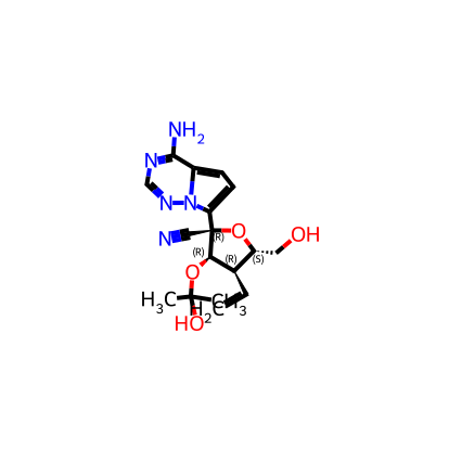 C=C[C@H]1[C@@H](OC(C)(C)O)[C@](C#N)(c2ccc3c(N)ncnn23)O[C@@H]1CO